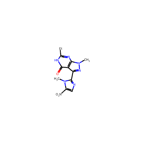 CCc1nc2c(c(-c3ncc([N+](=O)[O-])n3C)nn2C)c(=O)[nH]1